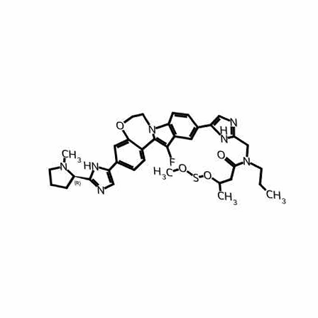 CCCN(Cc1ncc(-c2ccc3c(c2)c(F)c2n3CCOc3cc(-c4cnc([C@H]5CCCN5C)[nH]4)ccc3-2)[nH]1)C(=O)CC(C)OSOC